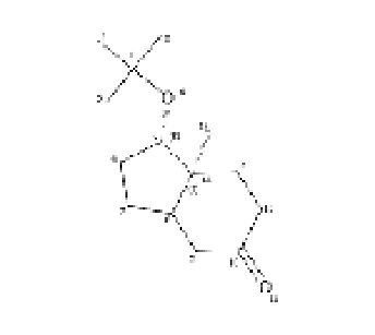 CC(C)(C)O[C@H]1CCC2CC(=O)CC[C@@]21C